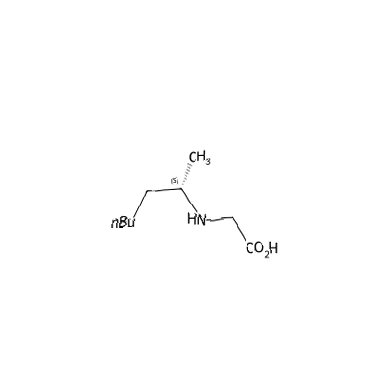 CCCCC[C@H](C)NCC(=O)O